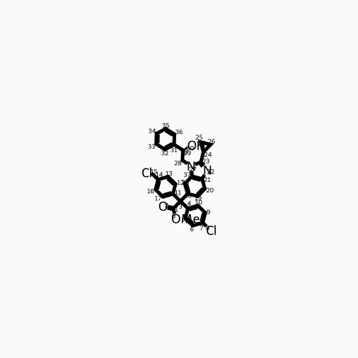 COC(=O)C(c1ccc(Cl)cc1)(c1ccc(Cl)cc1)c1ccc2nc(C3CC3)n(C[C@H](O)c3ccccc3)c2c1